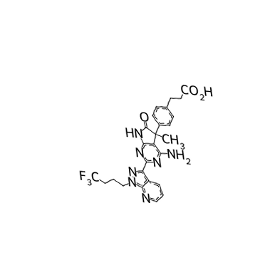 CC1(c2ccc(CCC(=O)O)cc2)C(=O)Nc2nc(-c3nn(CCCC(F)(F)F)c4ncccc34)nc(N)c21